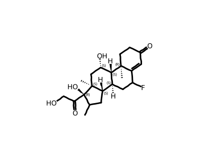 CC1C[C@H]2[C@@H]3CC(F)C4=CC(=O)CC[C@]4(C)[C@H]3[C@@H](O)C[C@]2(C)[C@@]1(O)C(=O)CO